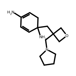 NC1=CCC(N)(CC2(CN3CCCC3)COC2)C=C1